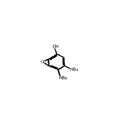 CCCCc1cc(O)c2c(c1CCCC)O2